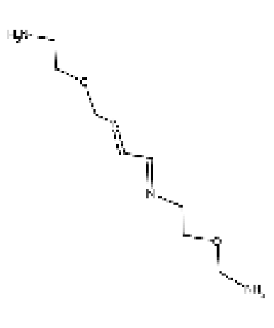 NCCOC/N=C/C=N/CCOCN